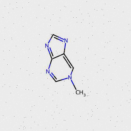 Cn1cnc2n[c]nc-2c1